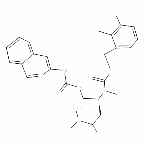 CCN(C=O)C(C)C[C@@H](COC(=O)Nc1cc2ccccc2cn1)N(C)C(=O)NCc1cccc(F)c1Cl